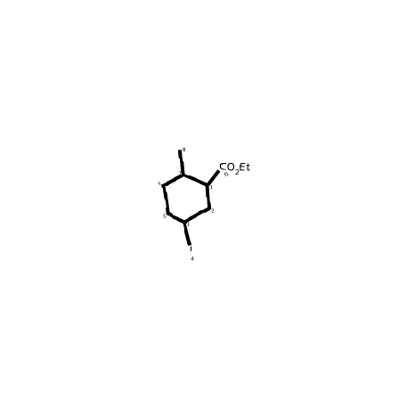 CCOC(=O)C1CC(I)CCC1C